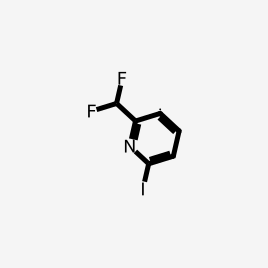 FC(F)c1[c]ccc(I)n1